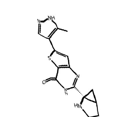 Cc1[nH]ncc1-c1cc2nc([C@]34CC3CCN4)[nH]c(=O)c2s1